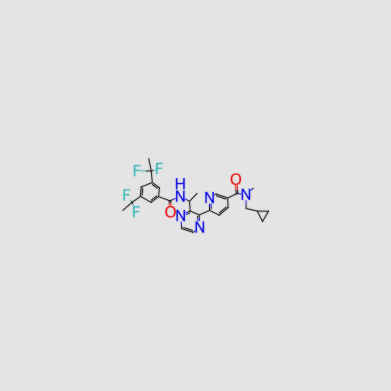 CC(NC(=O)c1cc(C(C)(F)F)cc(C(C)(F)F)c1)c1nccnc1-c1ccc(C(=O)N(C)CC2CC2)cn1